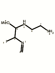 C=NC(I)C(NCCN)OC